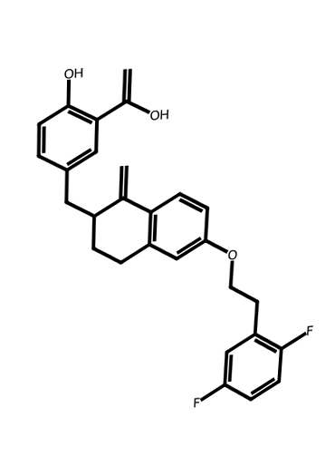 C=C(O)c1cc(CC2CCc3cc(OCCc4cc(F)ccc4F)ccc3C2=C)ccc1O